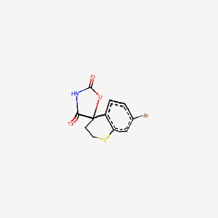 O=C1NC(=O)C2(CCSc3cc(Br)ccc32)O1